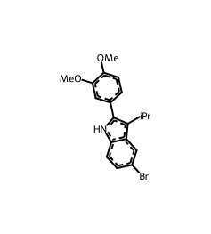 COc1ccc(-c2[nH]c3ccc(Br)cc3c2C(C)C)cc1OC